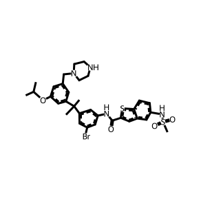 CC(C)Oc1cc(CN2CCNCC2)cc(C(C)(C)c2cc(Br)cc(NC(=O)c3cc4cc(NS(C)(=O)=O)ccc4s3)c2)c1